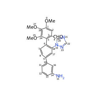 COc1cc(C=O)c(-c2ccc(-c3cccc(N)c3)cc2-n2cncn2)c(OC)c1OC